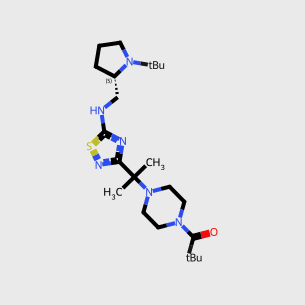 CC(C)(C)C(=O)N1CCN(C(C)(C)c2nsc(NC[C@@H]3CCCN3C(C)(C)C)n2)CC1